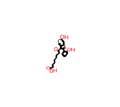 O=C(O)CCCCCCCC(=O)c1c(-c2ccccc2O)sc2cc(O)ccc12